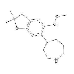 CONc1cc2c(cc1N1CCCNCC1)OC(C)(C)C2